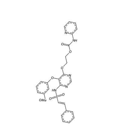 COc1cccc(Oc2c(NS(=O)(=O)/C=C/c3ccccc3)ncnc2OCCOC(=O)Nc2ccccn2)c1